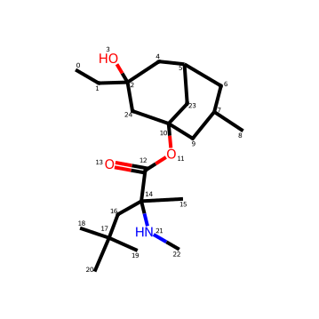 CCC1(O)CC2CC(C)CC(OC(=O)C(C)(CC(C)(C)C)NC)(C2)C1